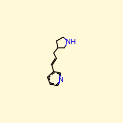 C(=C\c1cccnc1)/CC1CCNC1